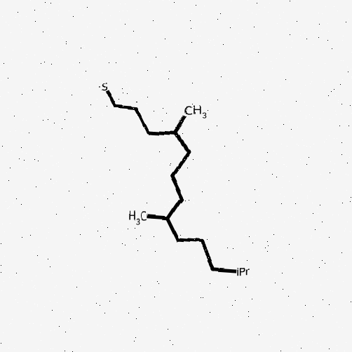 CC(C)CCCC(C)CCCC(C)CCC[S]